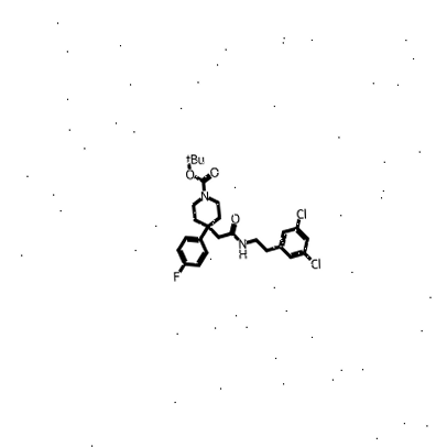 CC(C)(C)OC(=O)N1CCC(CC(=O)NCCc2cc(Cl)cc(Cl)c2)(c2ccc(F)cc2)CC1